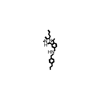 C=CCCC(C(=C)NC)N1C(=C)c2cc(CNCCc3ccc(CCC)cc3)ccc2C1C